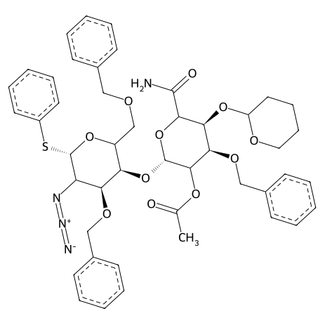 CC(=O)OC1[C@H](O[C@@H]2C(COCc3ccccc3)O[C@@H](Sc3ccccc3)C(N=[N+]=[N-])[C@@H]2OCc2ccccc2)OC(C(N)=O)[C@@H](OC2CCCCO2)[C@H]1OCc1ccccc1